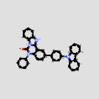 O=c1n(-c2ccccc2)c2ccc(-c3ccc(-n4c5ccccc5c5ccccc54)cc3)cc2c2nc3ccccc3n12